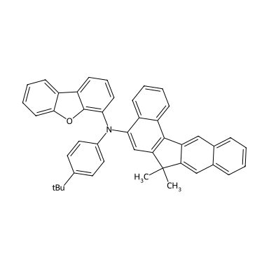 CC(C)(C)c1ccc(N(c2cc3c(c4ccccc24)-c2cc4ccccc4cc2C3(C)C)c2cccc3c2oc2ccccc23)cc1